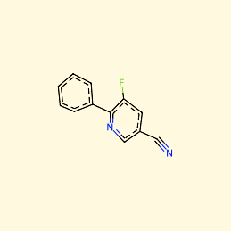 N#Cc1cnc(-c2ccccc2)c(F)c1